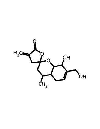 C=C1CC2(CC(C)C3CC=C(CO)C(O)C3O2)OC1=O